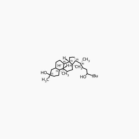 C[C@H](CCC(O)C(C)(C)C)[C@H]1CC[C@H]2[C@@H]3CCC4C[C@@](C)(O)CC[C@]4(C)[C@H]3CC[C@]12C